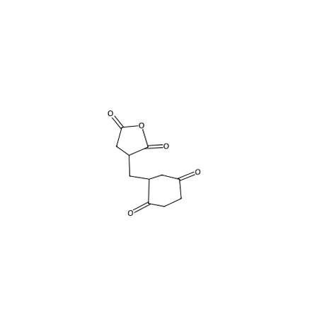 O=C1CCC(=O)C(CC2CC(=O)OC2=O)C1